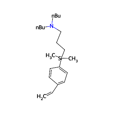 C=Cc1ccc([Si](C)(C)CCCN(CCCC)CCCC)cc1